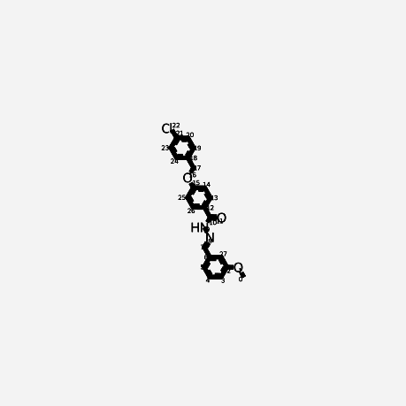 COc1cccc(/C=N/NC(=O)c2ccc(OCc3ccc(Cl)cc3)cc2)c1